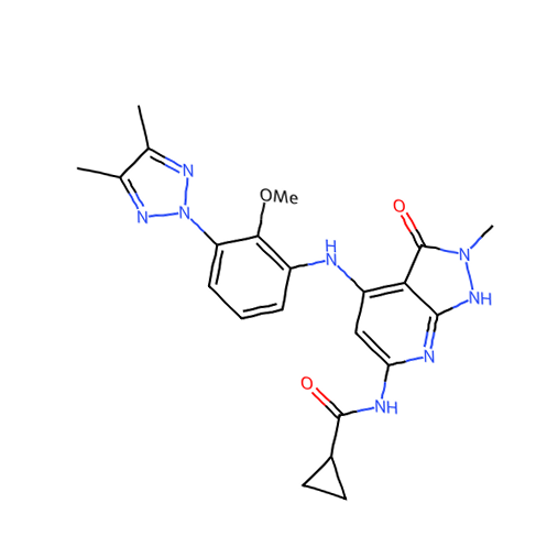 COc1c(Nc2cc(NC(=O)C3CC3)nc3[nH]n(C)c(=O)c23)cccc1-n1nc(C)c(C)n1